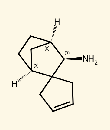 N[C@@H]1[C@@H]2CC[C@@H](C2)C12CC=CC2